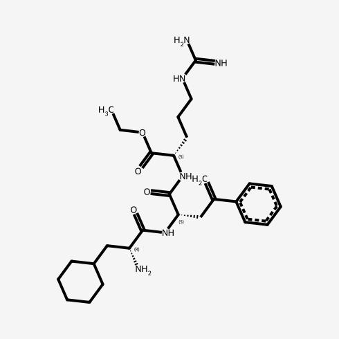 C=C(C[C@H](NC(=O)[C@H](N)CC1CCCCC1)C(=O)N[C@@H](CCCNC(=N)N)C(=O)OCC)c1ccccc1